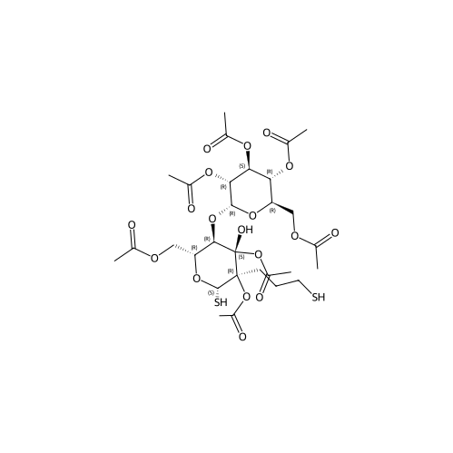 CC(=O)OC[C@H]1O[C@H](O[C@@H]2[C@@H](COC(C)=O)O[C@@H](S)[C@](CCCS)(OC(C)=O)[C@@]2(O)OC(C)=O)[C@H](OC(C)=O)[C@@H](OC(C)=O)[C@@H]1OC(C)=O